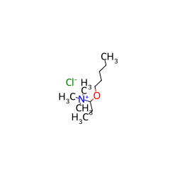 CCCCCOC(CC)[N+](C)(C)C.[Cl-]